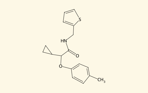 Cc1ccc(OC(C(=O)NCc2cccs2)C2CC2)cc1